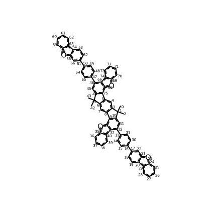 CC1(C)c2cc3c(cc2-c2c1cc(-c1ccc(-c4ccc5c(c4)oc4ccccc45)cc1)c1c2oc2ccccc21)C(C)(C)c1cc(-c2ccc(-c4ccc5c(c4)oc4ccccc45)cc2)c2c(oc4ccccc42)c1-3